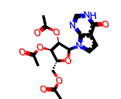 CC(=O)OC[C@H]1OC(n2ccc3c(=O)[nH]cnc32)[C@@H](OC(C)=O)[C@@H]1OC(C)=O